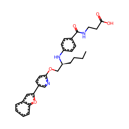 CCCC[C@@H](COc1ccc(-c2cc3ccccc3o2)cn1)Nc1ccc(C(=O)NCCC(=O)O)cc1